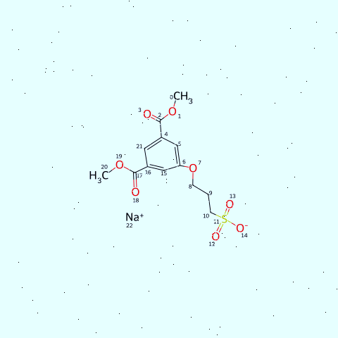 COC(=O)c1cc(OCCCS(=O)(=O)[O-])cc(C(=O)OC)c1.[Na+]